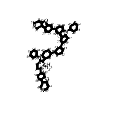 C=C(/C=C\c1c(C)c2cc(-c3cccc(-c4ccc5c(c4)c4cc(-c6ccc7c(c6)oc6ccncc67)ccc4n5-c4ccccc4)c3)ccc2n1-c1ccccc1)c1ccc2c(c1)oc1ccncc12